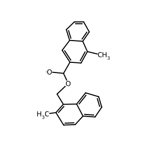 Cc1ccc2ccccc2c1COC([O])c1cc(C)c2ccccc2c1